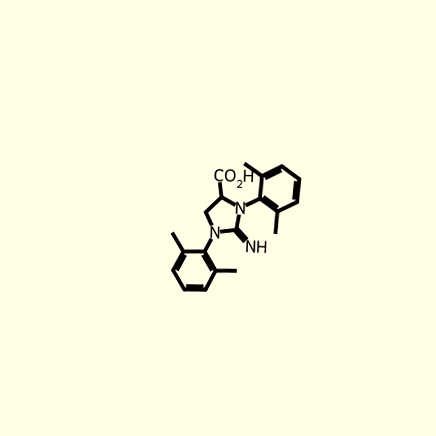 Cc1cccc(C)c1N1CC(C(=O)O)N(c2c(C)cccc2C)C1=N